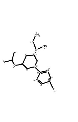 CC(C)OC1C[C@H](N(O)SN)CN(c2ncc(F)cn2)C1